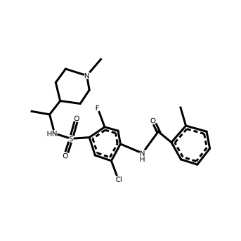 Cc1ccccc1C(=O)Nc1cc(F)c(S(=O)(=O)NC(C)C2CCN(C)CC2)cc1Cl